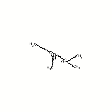 CCCCCCCCCCCCOCC(CN(CCCl)CCCCCC(=O)OCC(CCCCCC)CCCCCCCC)OCCCCCCCC